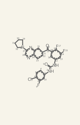 O=C(Nc1ccc(Cl)c(F)c1)Nc1cc(F)c(F)c(C(=O)c2ccc3ncc(N4CCCC4)nc3c2)c1